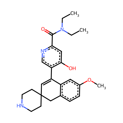 CCN(CC)C(=O)c1cc(O)c(C2=CC3(CCNCC3)Cc3ccc(OC)cc32)cn1